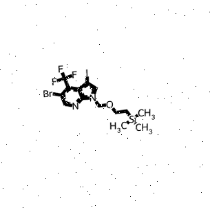 C[Si](C)(C)CCOCn1cc(I)c2c(C(F)(F)F)c(Br)cnc21